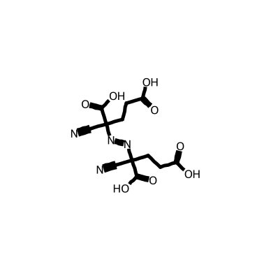 N#CC(CCC(=O)O)(N=NC(C#N)(CCC(=O)O)C(=O)O)C(=O)O